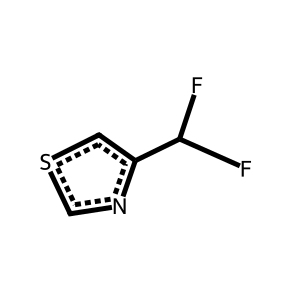 FC(F)c1cscn1